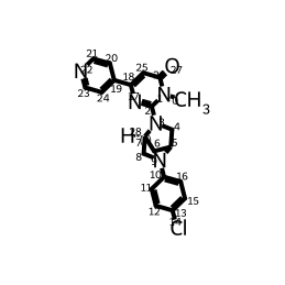 Cn1c(N2CC3C[C@H]2CN3c2ccc(Cl)cc2)nc(-c2ccncc2)cc1=O